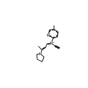 C#C/[N+](=C\C=C(/C)N1CCCC1)c1ccc(C)cn1